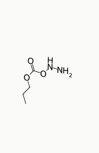 CCCOC(=O)ONN